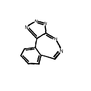 c1ccc2c3nnnc-3nncc2c1